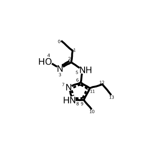 CCC(=NO)Nc1n[nH]c(C)c1CC